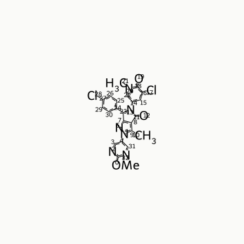 COc1ncc(-n2nc3c(c2C)C(=O)N(c2cc(Cl)c(=O)n(C)c2)C3c2ccc(Cl)cc2)cn1